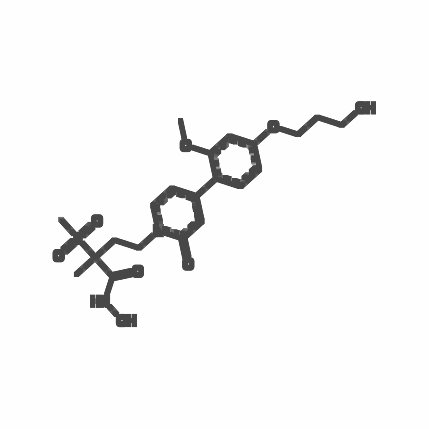 COc1cc(OCCCO)ccc1-c1ccn(CCC(C)(C(=O)NO)S(C)(=O)=O)c(=O)c1